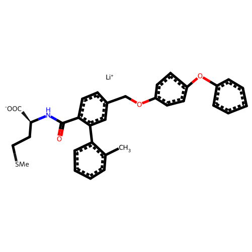 CSCC[C@H](NC(=O)c1ccc(COc2ccc(Oc3ccccc3)cc2)cc1-c1ccccc1C)C(=O)[O-].[Li+]